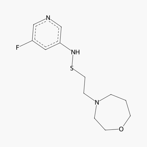 Fc1cncc(NSCCN2CCCOCC2)c1